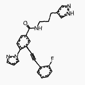 O=C(NCCCc1cn[nH]c1)c1ccc(-n2cccn2)c(C#Cc2ccccc2F)c1